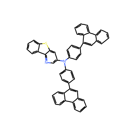 c1ccc2c(c1)cc(-c1ccc(N(c3ccc(-c4cc5ccccc5c5ccccc45)cc3)c3cnc4c(c3)sc3ccccc34)cc1)c1ccccc12